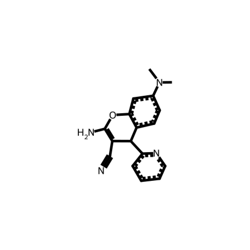 CN(C)c1ccc2c(c1)OC(N)=C(C#N)C2c1ccccn1